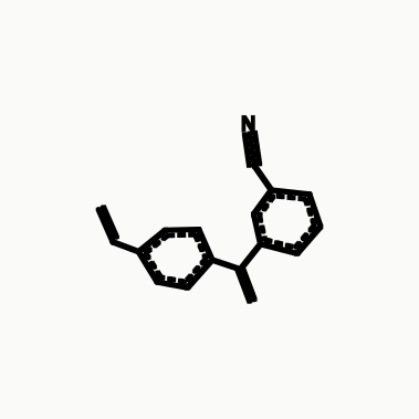 C=Cc1ccc(C(=C)c2cccc(C#N)c2)cc1